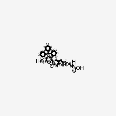 O=C(O)NCCOCc1cc2cn([C@@H]3CN(C(c4ccccc4)(c4ccccc4)c4ccccc4)C[C@@H](CO)O3)c(=O)nc2[nH]1